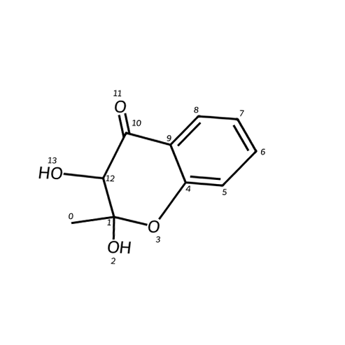 CC1(O)Oc2ccccc2C(=O)C1O